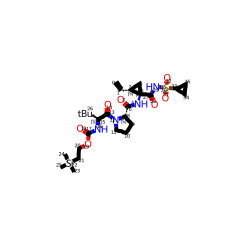 C=C[C@@H]1C[C@]1(NC(=O)[C@@H]1CCCN1C(=O)[C@@H](NC(=O)OCC[Si](C)(C)C)C(C)(C)C)C(=O)NS(=O)(=O)C1CC1